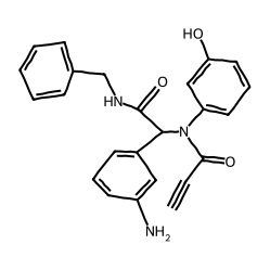 C#CC(=O)N(c1cccc(O)c1)C(C(=O)NCc1ccccc1)c1cccc(N)c1